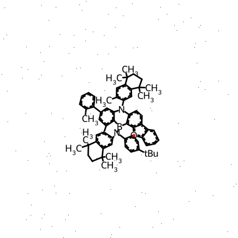 Cc1ccccc1-c1cc2c3c(c1)N(c1cc4c(cc1C)C(C)(C)CCC4(C)C)c1ccc4c(oc5ccccc54)c1B3N(c1ccc(C(C)(C)C)cc1)c1cc3c(cc1-2)C(C)(C)CCC3(C)C